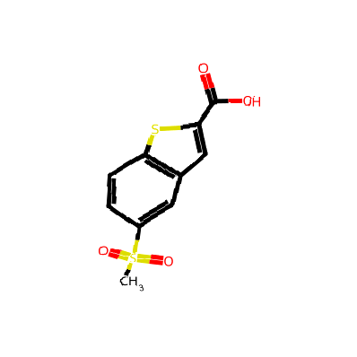 CS(=O)(=O)c1ccc2sc(C(=O)O)cc2c1